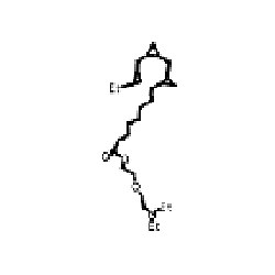 CCC1CC1CC1CC1CC1CC1CCCCCCCC(=O)OCCOCCN(CC)CC